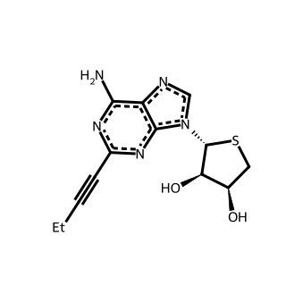 CCC#Cc1nc(N)c2ncn([C@@H]3SC[C@@H](O)[C@H]3O)c2n1